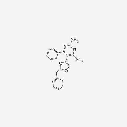 Nc1nc(N)c(C2=COC(Cc3ccccc3)O2)c(-c2ccccc2)n1